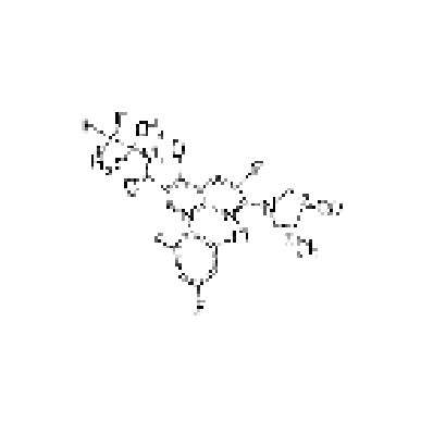 CC(C)(NC(=O)c1cn(-c2c(F)cc(F)cc2Cl)c2nc(N3C[C@@H](O)[C@H](O)C3)c(F)cc2c1=O)C(F)(F)F